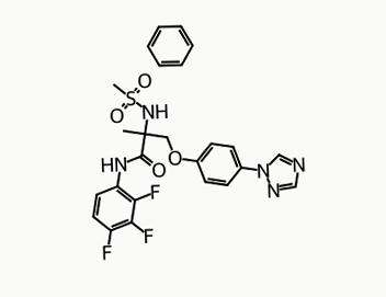 CC(COc1ccc(-n2cncn2)cc1)(NS(C)(=O)=O)C(=O)Nc1ccc(F)c(F)c1F.c1ccccc1